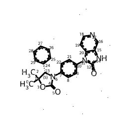 CC1(C)OC(=O)N(c2ccc(-n3c(=O)[nH]c4cnccc43)cc2)[C@H]1c1ccccc1